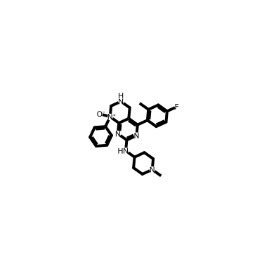 Cc1cc(F)ccc1-c1nc(NC2CCN(C)CC2)nc2c1CNC[N+]2([O-])c1ccccc1